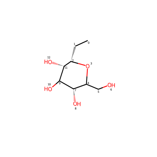 CC[C@@H]1OC(CO)[C@H](O)C(O)[C@@H]1O